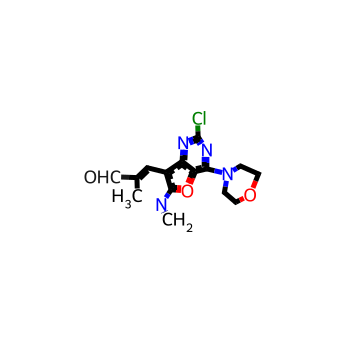 C=Nc1oc2c(N3CCOCC3)nc(Cl)nc2c1/C=C(\C)C=O